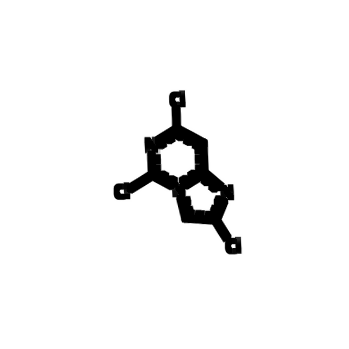 Clc1cc2nc(Cl)cn2c(Cl)n1